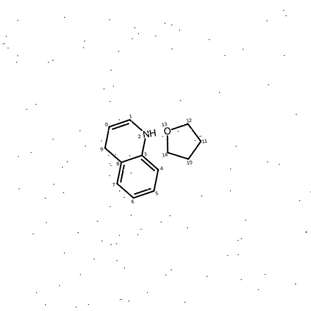 C1=CNc2ccccc2C1.C1CCOC1